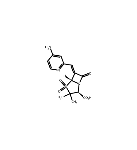 CC1(C)[C@H](C(=O)O)N2C(=O)/C(=C/c3cc(N)ccn3)[C@H]2S1(=O)=O